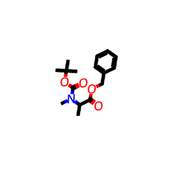 CC(C(=O)OCc1ccccc1)N(C)C(=O)OC(C)(C)C